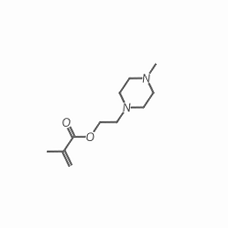 C=C(C)C(=O)OCCN1CCN(C)CC1